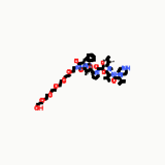 CC[C@H](C)[C@@H](C(CC(=O)N1CCC[C@H]1[C@H](OC)[C@@H](C)C(=O)N[C@@H](Cc1ccccc1)C(=O)NCCOCCOCCOCCOCCOCCO)OC)N(C)C(=O)[C@@H](NC(=O)[C@H](C(C)C)N1CCNCC1)C(C)C